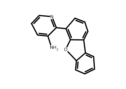 Nc1cccnc1-c1cccc2c1oc1ccccc12